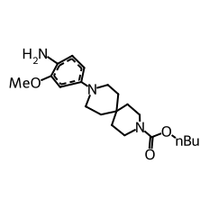 CCCCOC(=O)N1CCC2(CC1)CCN(c1ccc(N)c(OC)c1)CC2